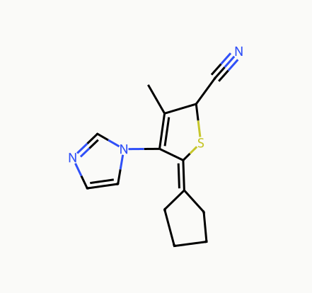 CC1=C(n2ccnc2)C(=C2CCCC2)SC1C#N